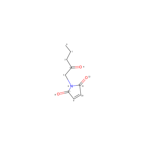 CCCC(=O)CN1C(=O)C=CC1=O